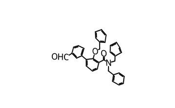 O=Cc1cccc(-c2cccc(C(=O)N(Cc3ccccc3)Cc3ccccc3)c2OCc2ccccc2)c1